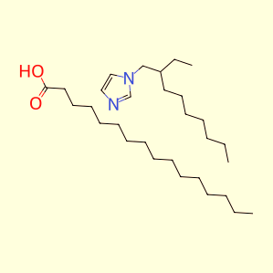 CCCCCCCC(CC)Cn1ccnc1.CCCCCCCCCCCCCCCC(=O)O